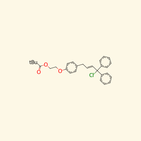 CC(C)(C)C(=O)OCCOc1ccc(CC=CC(Cl)(c2ccccc2)c2ccccc2)cc1